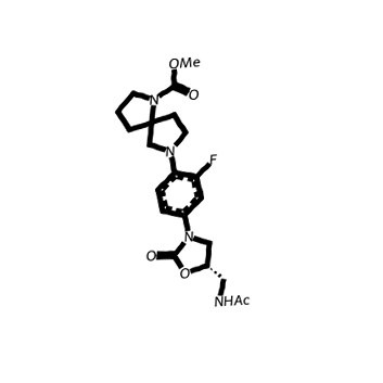 COC(=O)N1CCCC12CCN(c1ccc(N3C[C@H](CNC(C)=O)OC3=O)cc1F)C2